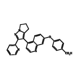 O=C(O)c1ccc(Oc2ccc3c(-c4c(-c5ccccn5)nn5c4CCC5)ccnc3c2)cc1